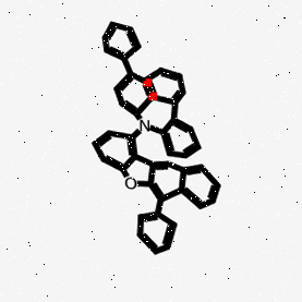 c1ccc(-c2ccc(N(c3ccccc3-c3ccccc3)c3cccc4oc5c(-c6ccccc6)c6ccccc6cc5c34)cc2)cc1